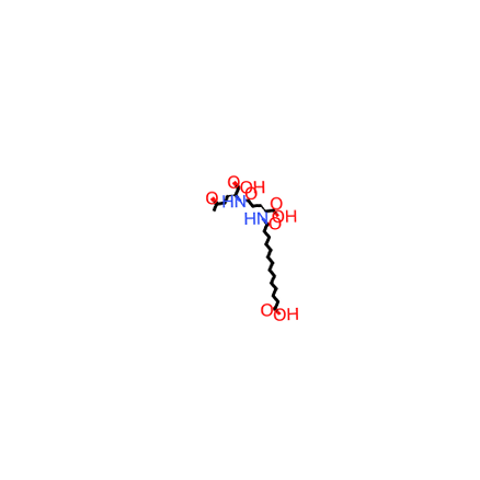 CC(=O)CC[C@H](NC(=O)CC[C@H](NC(=O)CCCCCCCCCCCCC(=O)O)C(=O)O)C(=O)O